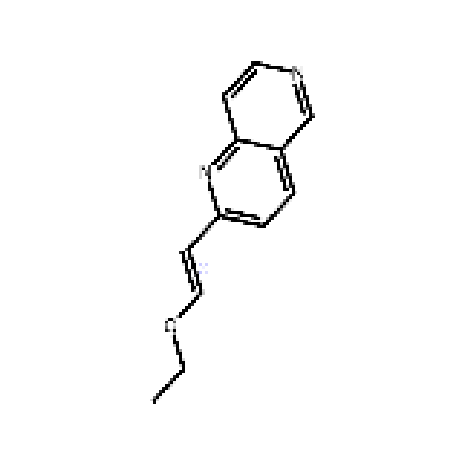 CCO/C=C/c1ccc2cnccc2n1